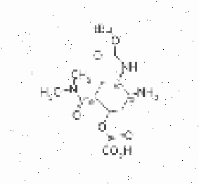 CN(C)C(=O)[C@@H]1C[C@@H](NC(=O)OC(C)(C)C)[C@@H](N)CC1OC(=O)C(=O)O